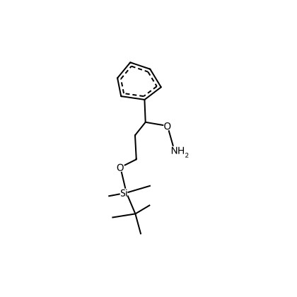 CC(C)(C)[Si](C)(C)OCCC(ON)c1ccccc1